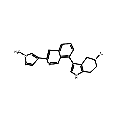 CC(=O)N1CCc2[nH]cc(-c3cccc4cc(-c5cnn(C)c5)ncc34)c2C1